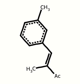 CC(=O)C(C)=Cc1cccc(C)c1